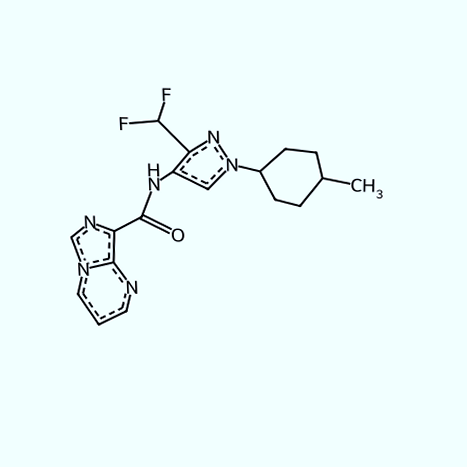 CC1CCC(n2cc(NC(=O)c3ncn4cccnc34)c(C(F)F)n2)CC1